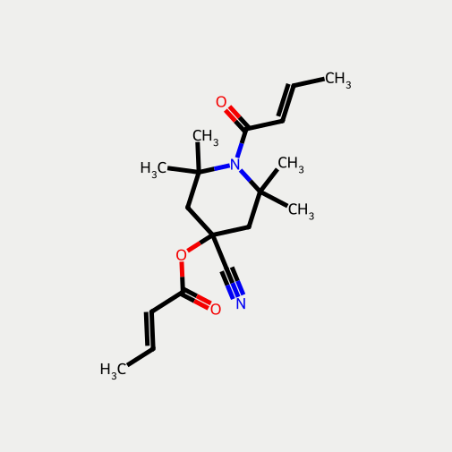 C/C=C/C(=O)OC1(C#N)CC(C)(C)N(C(=O)/C=C/C)C(C)(C)C1